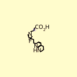 O=C(O)/C=C/CN1CC[C@@](F)(CCc2ccc3c(n2)NCCC3)C1